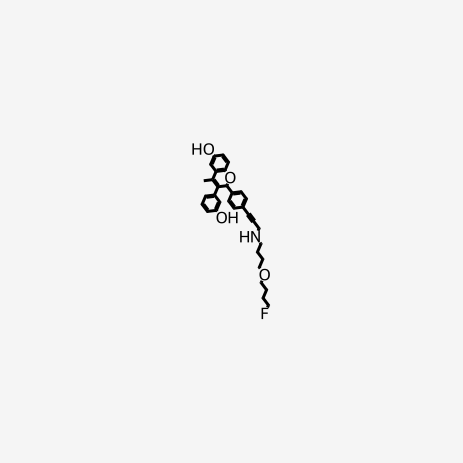 CC1=C(c2cccc(O)c2)C(c2ccc(C#CCNCCCCOCCCCF)cc2)Oc2ccc(O)cc21